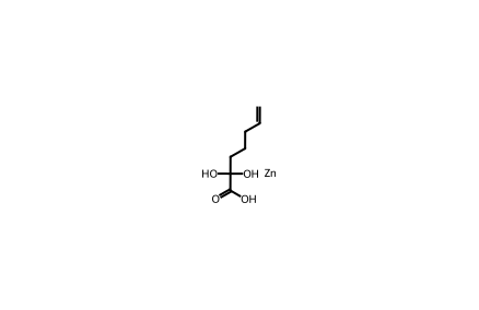 C=CCCCC(O)(O)C(=O)O.[Zn]